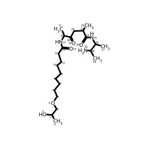 CC(O)COCCCCCCCCC(=O)NC(C)C(=O)CC(C)C(=O)NC(C)C(C)N